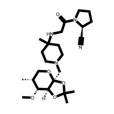 CO[C@@H]1[C@H](C)CO[C@@]2(CN3CCC(C)(NCC(=O)N4CCC[C@H]4C#N)CC3)OC(C)(C)O[C@@H]12